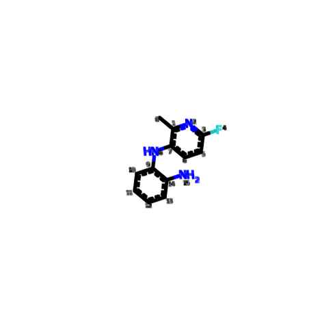 Cc1nc(F)ccc1Nc1ccccc1N